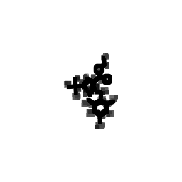 CCOC(=O)c1cc(C(C)(C)C)nn1Cc1c(C)cc(C)cc1C